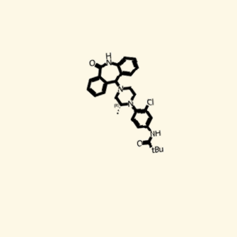 C[C@@H]1CN(C2c3ccccc3NC(=O)c3ccccc32)CCN1c1ccc(NC(=O)C(C)(C)C)cc1Cl